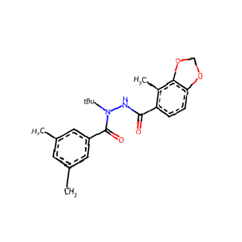 Cc1cc(C)cc(C(=O)N(NC(=O)c2ccc3c(c2C)OCO3)C(C)(C)C)c1